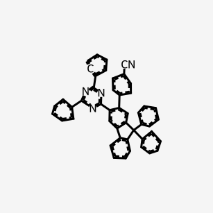 N#Cc1ccc(-c2cc3c(cc2-c2nc(-c4ccccc4)nc(-c4ccccc4)n2)-c2ccccc2C3(c2ccccc2)c2ccccc2)cc1